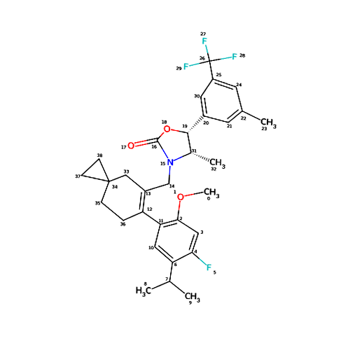 COc1cc(F)c(C(C)C)cc1C1=C(CN2C(=O)O[C@H](c3cc(C)cc(C(F)(F)F)c3)[C@@H]2C)CC2(CC1)CC2